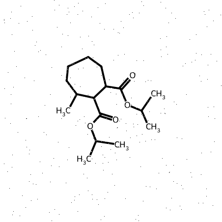 CC(C)OC(=O)C1CCCCC(C)C1C(=O)OC(C)C